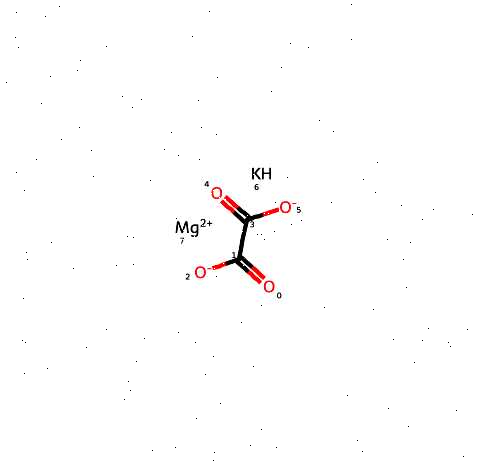 O=C([O-])C(=O)[O-].[KH].[Mg+2]